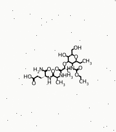 CCOC(=O)NC1C(CC)OC(CO)C(O)C1O[C@H](C)C(=O)N[C@@H](C)C(=O)N[C@H](CCC(=O)O)C(N)=O